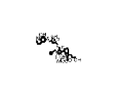 COC(=O)c1c(CCCO)c2ccc(F)c(-c3c(C)nn(CC4C5CC4C5)c3CSCc3cc(CSc4cc(O)c5ncccc5c4)n(C)n3)c2n1C